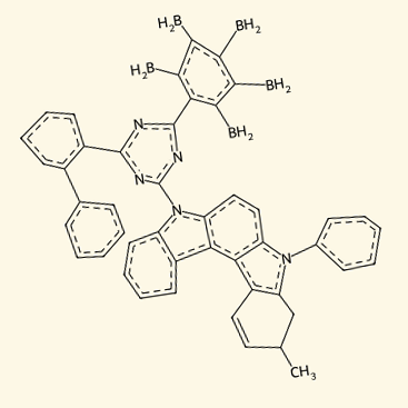 Bc1c(B)c(B)c(-c2nc(-c3ccccc3-c3ccccc3)nc(-n3c4ccccc4c4c5c6c(n(-c7ccccc7)c5ccc43)CC(C)C=C6)n2)c(B)c1B